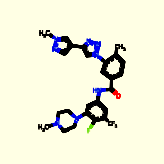 Cc1ccc(C(=O)Nc2cc(N3CCN(C)CC3)c(F)c(C(F)(F)F)c2)cc1-n1cc(-c2cnn(C)c2)nn1